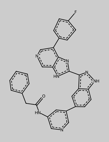 O=C(Cc1ccccc1)Nc1cncc(-c2ccc3[nH]nc(-c4nc5c(-c6ccc(F)cc6)cncc5[nH]4)c3c2)c1